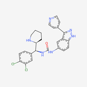 O=C(Nc1ccc2[nH]nc(-c3ccncc3)c2c1)N[C@@H](c1ccc(Cl)c(Cl)c1)[C@@H]1CCCCN1